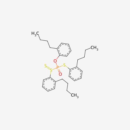 CCCCc1ccccc1OP(=O)(Sc1ccccc1CCCC)S(=S)c1ccccc1CCCC